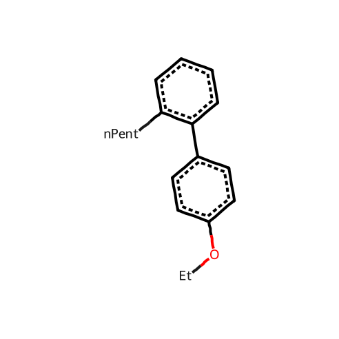 CCCCCc1ccccc1-c1ccc(OCC)cc1